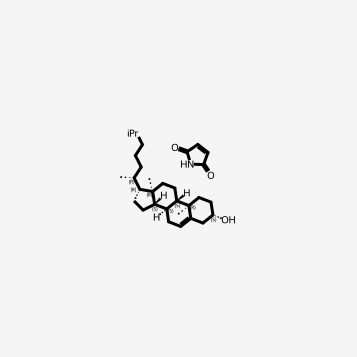 CC(C)CCC[C@@H](C)[C@H]1CC[C@H]2[C@@H]3CC=C4C[C@@H](O)CC[C@]4(C)[C@H]3CC[C@]12C.O=C1C=CC(=O)N1